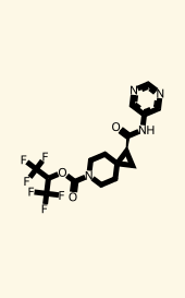 O=C(Nc1cncnc1)[C@H]1CC12CCN(C(=O)OC(C(F)(F)F)C(F)(F)F)CC2